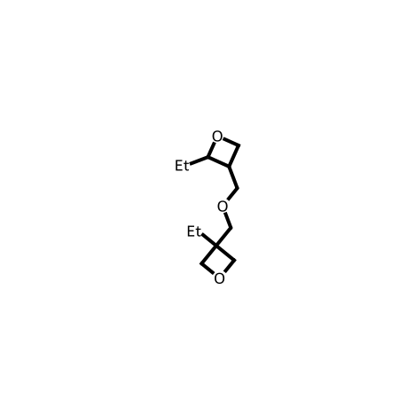 CCC1OCC1COCC1(CC)COC1